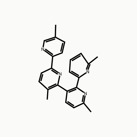 Cc1ccc(-c2ccc(C)c(-c3ccc(C)nc3-c3cccc(C)n3)n2)nc1